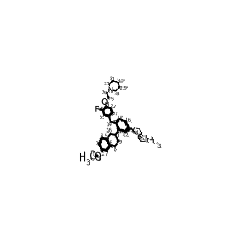 COc1ccc2c(c1)CCC(c1cc(OC)ccc1Cc1ccc(OCCN3CCCCC3)c(F)c1)C2